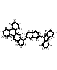 c1cc(-c2ccc3ccc(-n4c5ccccc5c5ccccc54)cc3c2)c2cc3c4ccccc4c4ccccc4c3cc2c1